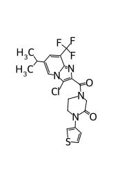 CC(C)c1cc(C(F)(F)F)c2nc(C(=O)N3CCN(c4ccsc4)C(=O)C3)c(Cl)n2c1